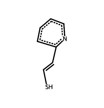 S/C=C/c1ccccn1